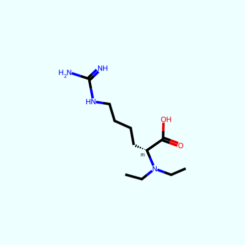 CCN(CC)[C@H](CCCCNC(=N)N)C(=O)O